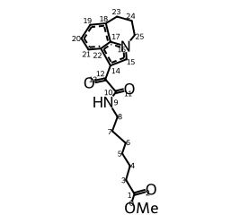 COC(=O)CCCCCCNC(=O)C(=O)c1cn2c3c(cccc13)CCC2